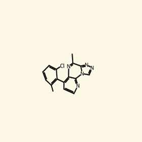 Cc1cccc(Cl)c1-c1ccnc2c1nc(C)c1nncn12